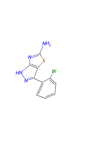 Nc1nc2[nH]nc(-c3ccccc3Br)c2s1